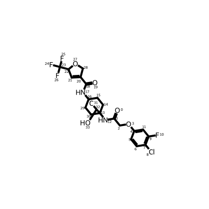 O=C(COc1ccc(Cl)c(F)c1)NC12CCC(NC(=O)C3=CC(C(F)(F)F)OC3)(CC1)CC2O